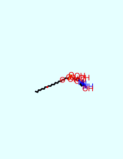 CCCCCCCCCCCCCCCCOCCCOP(=O)(O)OC[C@H]1O[C@@H](n2ccc(NO)nc2=O)[C@@H](O)[C@H]1O